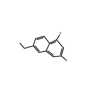 CCc1ccc2c(F)cc(F)cc2c1